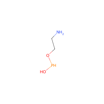 NCCOPO